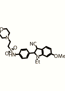 CCN1c2cc(OC)ccc2C(C#N)C1c1ccc(NS(=O)(=O)CCN2CCOCC2)cc1